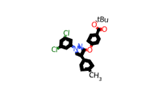 Cc1ccc(-c2cn(-c3cc(Cl)cc(Cl)c3)nc2Oc2ccc(C(=O)OC(C)(C)C)cc2)cc1